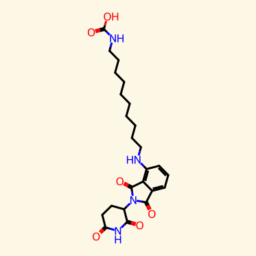 O=C(O)NCCCCCCCCCCNc1cccc2c1C(=O)N(C1CCC(=O)NC1=O)C2=O